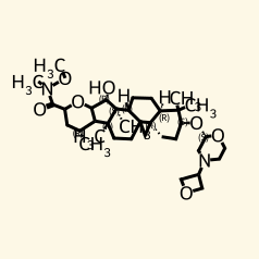 CON(C)C(=O)C1C[C@@H](C)C2C(O1)[C@H](O)[C@@]1(C)[C@@H]3CC[C@H]4C(C)(C)[C@@H](O[C@H]5CN(C6COC6)CCO5)CC[C@@]45CC35CC[C@]21C